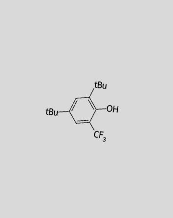 CC(C)(C)c1cc(C(C)(C)C)c(O)c(C(F)(F)F)c1